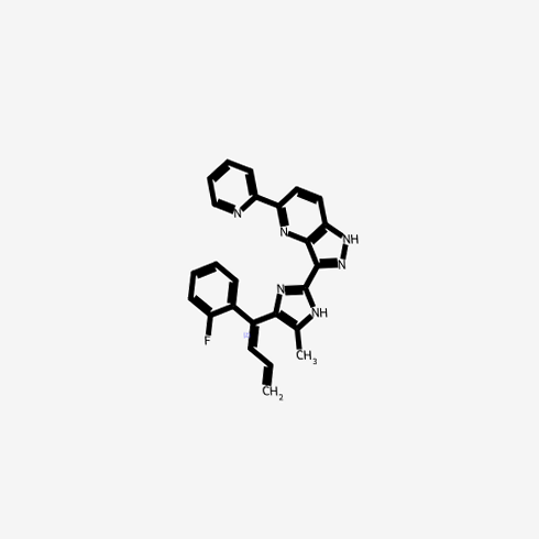 C=C/C=C(/c1ccccc1F)c1nc(-c2n[nH]c3ccc(-c4ccccn4)nc23)[nH]c1C